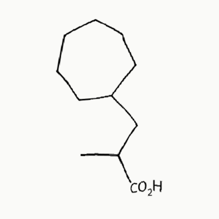 CC(CC1CCCCCC1)C(=O)O